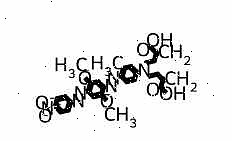 C=C(CCN(CCC(=C)C(=O)O)c1ccc(N=Nc2cc(OCC)c(N=Nc3ccc([N+](=O)[O-])cc3)cc2OCC)c(C)c1)C(=O)O